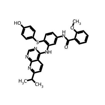 COc1ccccc1C(=O)Nc1ccc(Sc2ccc(O)cc2)c(Nc2ncnc3nc(C(C)C)ccc23)c1